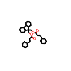 O=C(/C=C/c1ccccc1)OCC1(COC(=O)/C=C/c2ccccc2)c2ccccc2-c2ccccc21